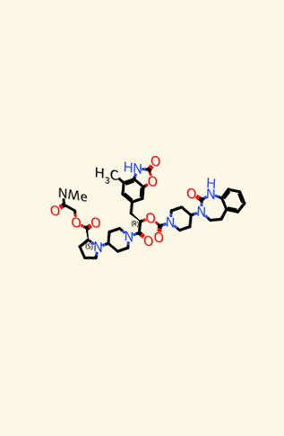 CNC(=O)COC(=O)[C@@H]1CCCN1C1CCN(C(=O)[C@@H](Cc2cc(C)c3[nH]c(=O)oc3c2)OC(=O)N2CCC(N3CCc4ccccc4NC3=O)CC2)CC1